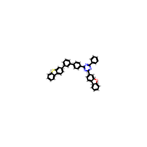 c1ccc(-c2nc(-c3ccc(-c4cccc(-c5ccc6c(c5)sc5ccccc56)c4)cc3)nc(-c3ccc4c(c3)oc3ccccc34)n2)cc1